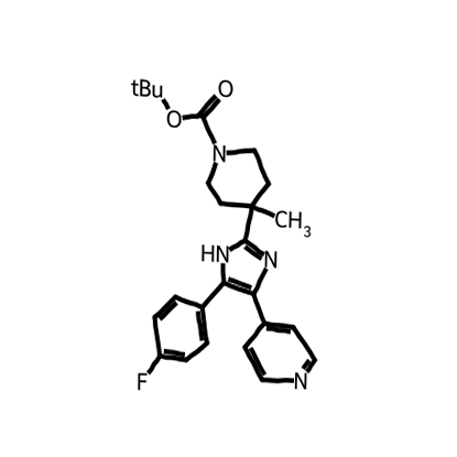 CC(C)(C)OC(=O)N1CCC(C)(c2nc(-c3ccncc3)c(-c3ccc(F)cc3)[nH]2)CC1